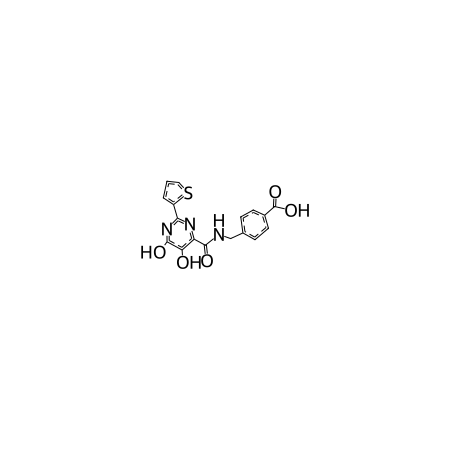 O=C(O)c1ccc(CNC(=O)c2nc(-c3cccs3)nc(O)c2O)cc1